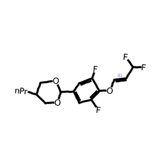 CCCC1COC(c2cc(F)c(O/C=C/C(F)F)c(F)c2)OC1